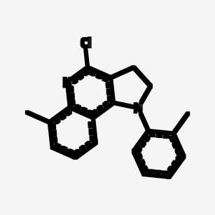 Cc1ccccc1N1CCc2c(Cl)nc3c(C)cccc3c21